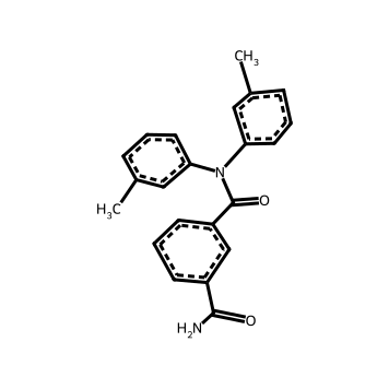 Cc1cccc(N(C(=O)c2cccc(C(N)=O)c2)c2cccc(C)c2)c1